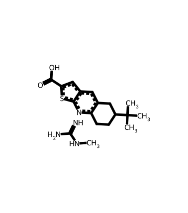 CC(C)(C)C1CCc2nc3sc(C(=O)O)cc3cc2C1.CNC(=N)N